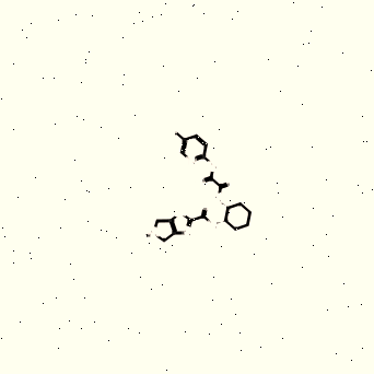 CN1Cc2nc(C(=O)N[C@@H]3CCCC[C@@H]3NC(=O)C(=O)Nc3ccc(Cl)cn3)sc2C1